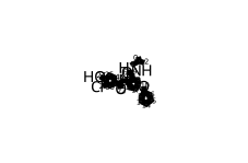 CC(C)CNC(=O)c1cc(Oc2ccccc2)ccc1NC(=O)c1ccc(O)c(Cl)c1